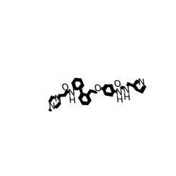 CN1CCN(CCC(=O)Nc2ccccc2-c2ccccc2CCOc2ccc(NC(=O)NCc3cccnc3)cc2)CC1